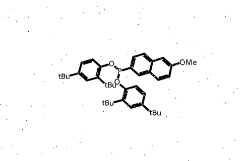 COc1ccc2cc(P(Oc3ccc(C(C)(C)C)cc3C(C)(C)C)Oc3ccc(C(C)(C)C)cc3C(C)(C)C)ccc2c1